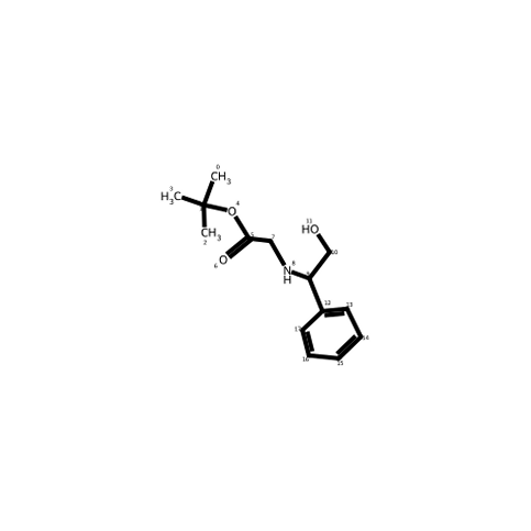 CC(C)(C)OC(=O)CNC(CO)c1ccccc1